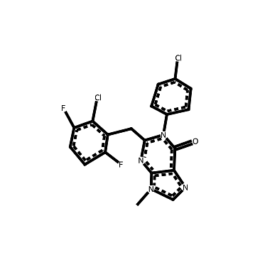 Cn1cnc2c(=O)n(-c3ccc(Cl)cc3)c(Cc3c(F)ccc(F)c3Cl)nc21